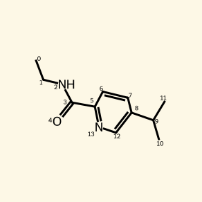 CCNC(=O)c1ccc(C(C)C)cn1